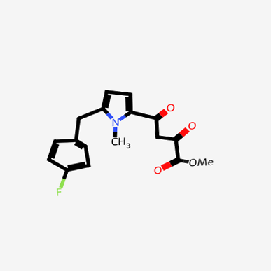 COC(=O)C(=O)CC(=O)c1ccc(Cc2ccc(F)cc2)n1C